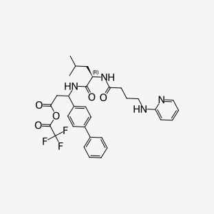 CC(C)C[C@@H](NC(=O)CCCNc1ccccn1)C(=O)NC(CC(=O)OC(=O)C(F)(F)F)c1ccc(-c2ccccc2)cc1